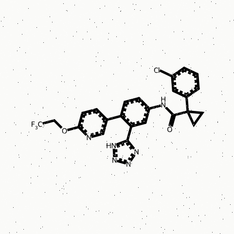 O=C(Nc1ccc(-c2ccc(OCC(F)(F)F)nc2)c(-c2nnn[nH]2)c1)C1(c2cccc(Cl)c2)CC1